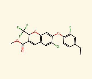 CCc1ccc(Oc2cc3c(cc2Cl)C=C(C(=O)OC)C(C(F)(F)F)O3)c(F)c1